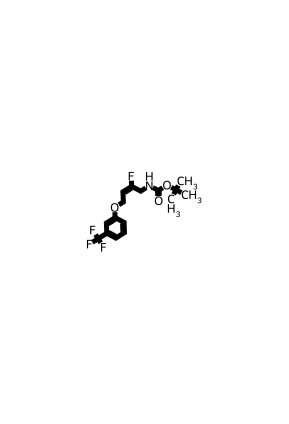 CC(C)(C)OC(=O)NC/C(F)=C\COc1cccc(C(F)(F)F)c1